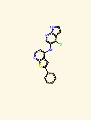 Clc1c(Nc2ccnc3sc(-c4ccccc4)cc23)cnc2[nH]ccc12